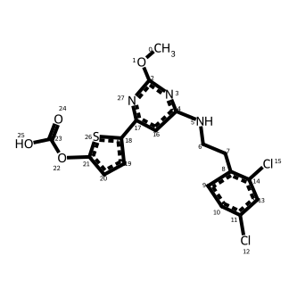 COc1nc(NCCc2ccc(Cl)cc2Cl)cc(-c2ccc(OC(=O)O)s2)n1